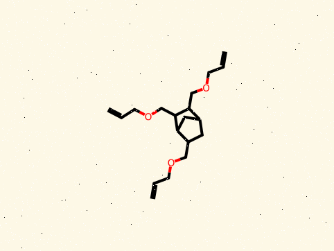 C=CCOCC1CC2CC1C(COCC=C)C2COCC=C